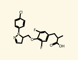 CC(Cc1cc(F)c(OCC2CC=NN2c2ccc(Cl)cc2)c(F)c1)C(=O)O